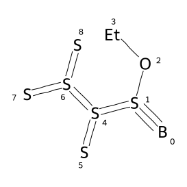 B#S(OCC)=S(=S)=S(=S)=S